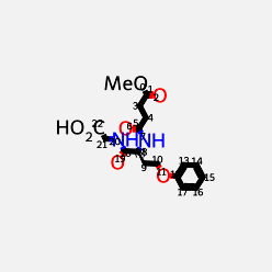 COC(=O)CCC(=O)N[C@@H](CCOc1ccccc1)C(=O)NCC(=O)O